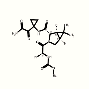 CC(C)[C@H](NC(=O)OC(C)(C)C)C(=O)N1C[C@H]2[C@@H]([C@H]1C(=O)NC1(C(=O)C(N)=O)CC1)C2(C)C